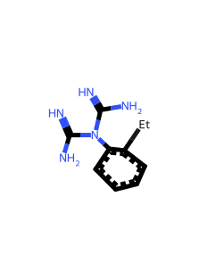 CCc1ccccc1N(C(=N)N)C(=N)N